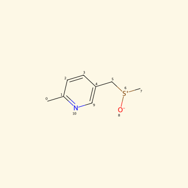 Cc1ccc(C[S+](C)[O-])cn1